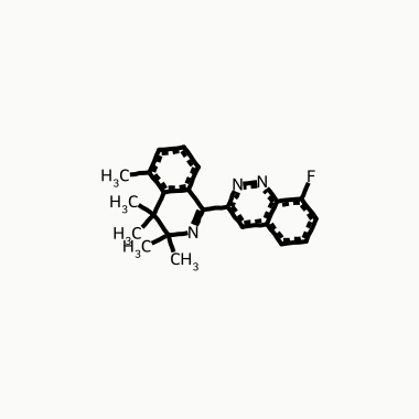 Cc1cccc2c1C(C)(C)C(C)(C)N=C2c1cc2cccc(F)c2nn1